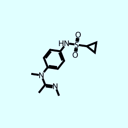 CN=C(C)N(C)c1ccc(NS(=O)(=O)C2CC2)cc1